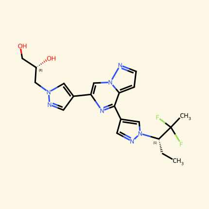 CC[C@H](n1cc(-c2nc(-c3cnn(C[C@@H](O)CO)c3)cn3nccc23)cn1)C(C)(F)F